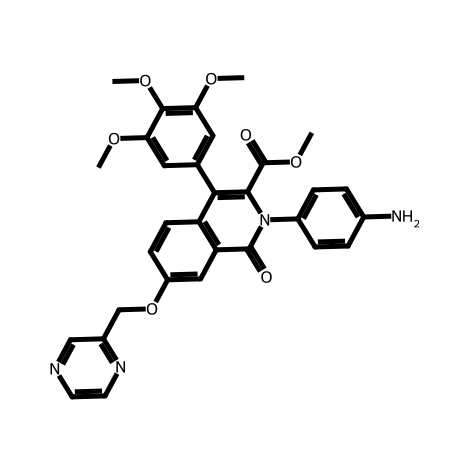 COC(=O)c1c(-c2cc(OC)c(OC)c(OC)c2)c2ccc(OCc3cnccn3)cc2c(=O)n1-c1ccc(N)cc1